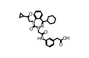 O=C(O)Cc1cccc(NC(=O)CN2N=C(C3CCCCC3)c3ccccc3N(CC(=O)C3CC3)C2=O)c1